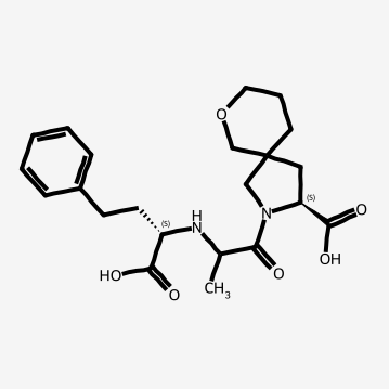 CC(N[C@@H](CCc1ccccc1)C(=O)O)C(=O)N1CC2(CCCOC2)C[C@H]1C(=O)O